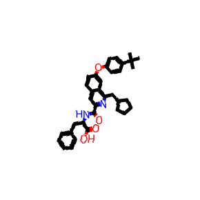 CC(C)(C)c1ccc(Oc2ccc3cc(C(=O)NC(Cc4ccccc4)C(=O)O)nc(CC4CCCC4)c3c2)cc1